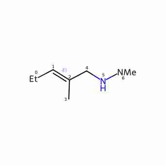 CC/C=C(\C)CNNC